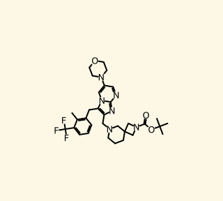 Cc1c(Cc2c(CN3CCCC4(C3)CN(C(=O)OC(C)(C)C)C4)nc3ncc(N4CCOCC4)cn23)cccc1C(F)(F)F